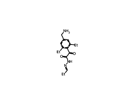 CCC=NNC(=O)C(=O)c1c(CC)cc(CN)cc1CC